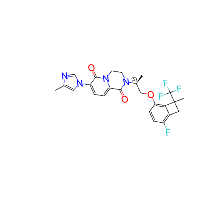 Cc1cn(-c2ccc3n(c2=O)CCN([C@@H](C)COc2ccc(F)c4c2C(C)(C(F)(F)F)C4)C3=O)cn1